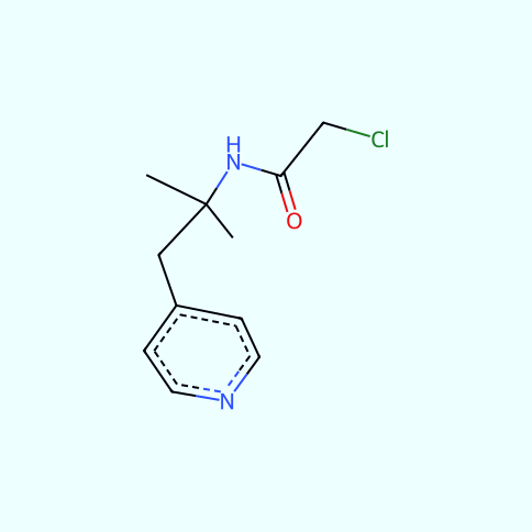 CC(C)(Cc1ccncc1)NC(=O)CCl